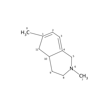 CC1=CC=C2CN(C)CCC2C1